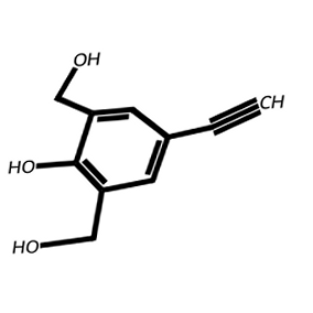 C#Cc1cc(CO)c(O)c(CO)c1